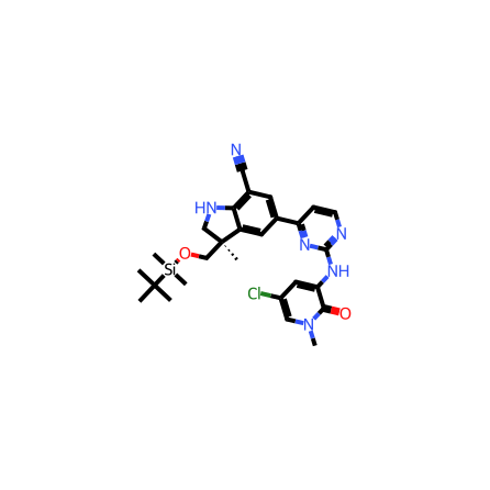 Cn1cc(Cl)cc(Nc2nccc(-c3cc(C#N)c4c(c3)[C@@](C)(CO[Si](C)(C)C(C)(C)C)CN4)n2)c1=O